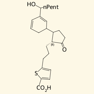 CCCCCC(O)C1=CC(C2CCC(=O)[C@@H]2CCCc2ccc(C(=O)O)s2)CC=C1